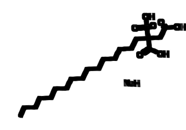 CCCCCCCCCCCCCCCCC(CC(=O)O)(C(=O)O)S(=O)(=O)O.[NaH]